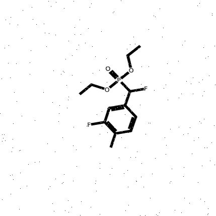 CCOP(=O)(OCC)C(F)c1ccc(C)c(F)c1